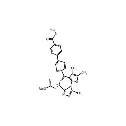 COC(=O)C[C@@H]1N=C(c2ccc(-c3cnc(C(=O)OC(C)(C)C)cn3)cc2)c2c(sc(C)c2C)-n2c(C)nnc21